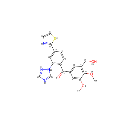 COc1cc(C(=O)c2ccc(-c3nccs3)cc2-n2cncn2)cc(CO)c1OC